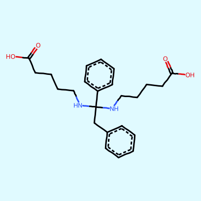 O=C(O)CCCCNC(Cc1ccccc1)(NCCCCC(=O)O)c1ccccc1